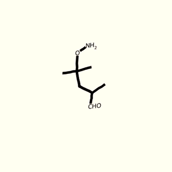 CC(C=O)CC(C)(C)ON